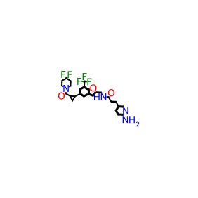 Nc1ccc(C=CC(=O)NCc2cc3cc(C4CC4C(=O)N4CCC(F)(F)CC4)cc(C(F)(F)F)c3o2)cn1